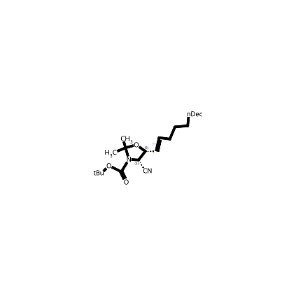 CCCCCCCCCCCCC/C=C/[C@H]1OC(C)(C)N(C(=O)OC(C)(C)C)[C@H]1C#N